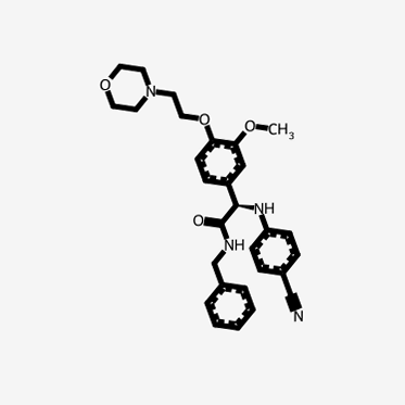 COc1cc([C@@H](Nc2ccc(C#N)cc2)C(=O)NCc2ccccc2)ccc1OCCN1CCOCC1